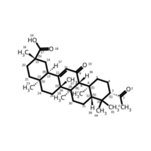 CC(=O)[C@H]1CC[C@]2(C)[C@H]3C(=O)C=C4[C@@H]5C[C@@](C)(C(=O)O)CC[C@]5(C)CC[C@@]4(C)[C@]3(C)CC[C@H]2C1(C)C